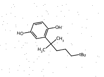 CC(C)(C)CCCC(C)(C)c1cc(O)ccc1O